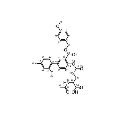 COc1ccc(COC(=O)c2cc(-c3ccc(F)cc3F)ccc2OC(=O)SCC(NC(C)=O)C(=O)O)cc1